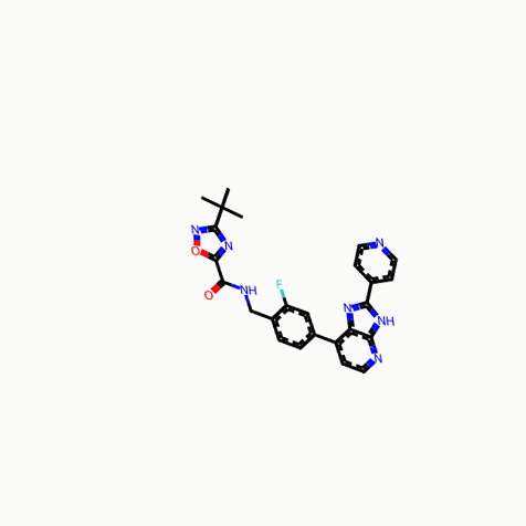 CC(C)(C)c1noc(C(=O)NCc2ccc(-c3ccnc4[nH]c(-c5ccncc5)nc34)cc2F)n1